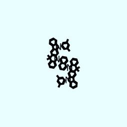 Cc1cc(C)cc(-n2c3ccccc3c3cc4c(cc32)N(c2cccc3c(N5c6ccccc6C(C)(C)c6cc7c8ccccc8n(-c8cc(C)cc(C)c8)c7cc65)cccc23)c2ccccc2C4(C)C)c1